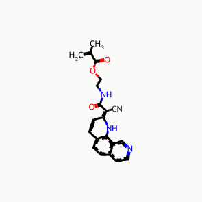 C=C(C)C(=O)OCCNC(=O)/C(C#N)=C1\C=Cc2ccc3ccncc3c2N1